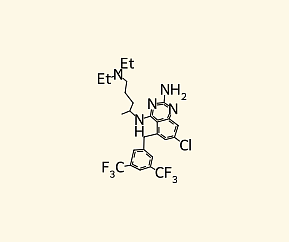 CCN(CC)CCCC(C)Nc1nc(N)nc2cc(Cl)cc(Cc3cc(C(F)(F)F)cc(C(F)(F)F)c3)c12